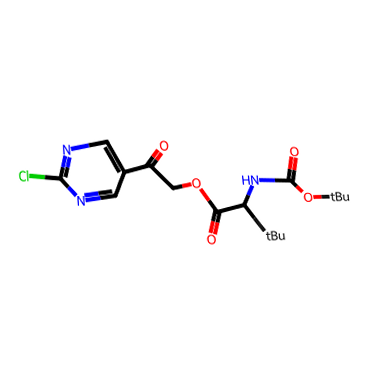 CC(C)(C)OC(=O)NC(C(=O)OCC(=O)c1cnc(Cl)nc1)C(C)(C)C